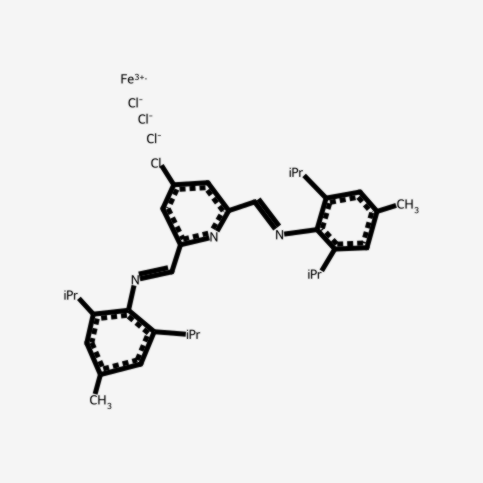 Cc1cc(C(C)C)c(N=Cc2cc(Cl)cc(C=Nc3c(C(C)C)cc(C)cc3C(C)C)n2)c(C(C)C)c1.[Cl-].[Cl-].[Cl-].[Fe+3]